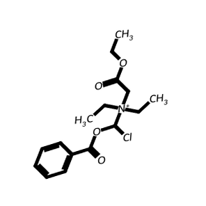 CCOC(=O)C[N+](CC)(CC)C(Cl)OC(=O)c1ccccc1